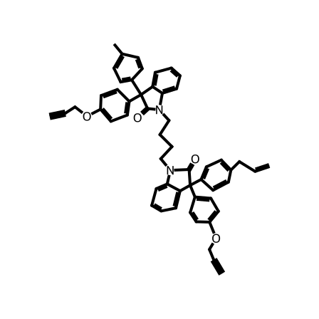 C#CCOc1ccc(C2(c3ccc(C)cc3)C(=O)N(CCCCN3C(=O)C(c4ccc(CC=C)cc4)(c4ccc(OCC#C)cc4)c4ccccc43)c3ccccc32)cc1